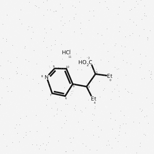 CCC(C(=O)O)C(CC)c1ccncc1.Cl